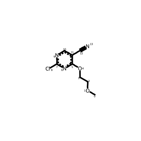 COCCOc1nc(Cl)ncc1C#N